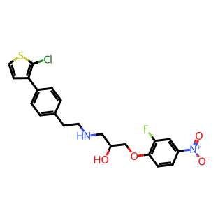 O=[N+]([O-])c1ccc(OCC(O)CNCCc2ccc(-c3ccsc3Cl)cc2)c(F)c1